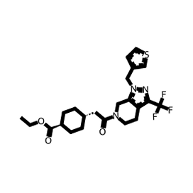 CCOC(=O)[C@H]1CC[C@H](CC(=O)N2CCc3c(C(F)(F)F)nn(Cc4ccsc4)c3C2)CC1